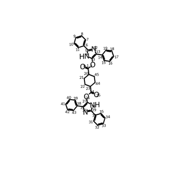 O=C(Oc1[nH]c(-c2ccccc2)nc1-c1ccccc1)C1CCC(C(=O)Oc2[nH]c(-c3ccccc3)nc2-c2ccccc2)CC1